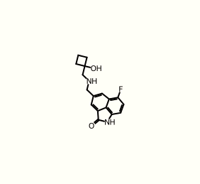 O=C1Nc2ccc(F)c3cc(CNCC4(O)CCC4)cc1c23